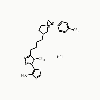 Cc1ncoc1-c1nnc(CCCCN2CC[C@]3(C[C@@H]3c3ccc(C(F)(F)F)cc3)C2)n1C.Cl